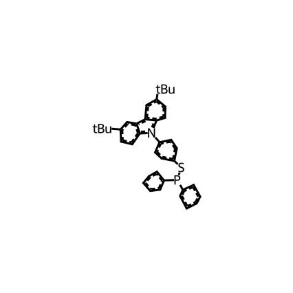 CC(C)(C)c1ccc2c(c1)c1cc(C(C)(C)C)ccc1n2-c1ccc(SP(c2ccccc2)c2ccccc2)cc1